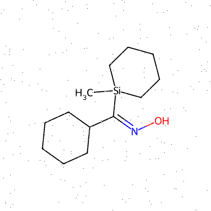 C[Si]1(C(=NO)C2CCCCC2)CCCCC1